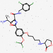 C[C@H](N)c1oc(-c2ccc(OC(F)F)c(OCCCCNC3CCOC3=O)c2)nc1C(=O)NCc1ccc(F)cc1F